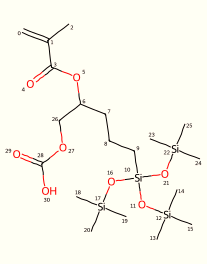 C=C(C)C(=O)OC(CCC[Si](O[Si](C)(C)C)(O[Si](C)(C)C)O[Si](C)(C)C)COC(=O)O